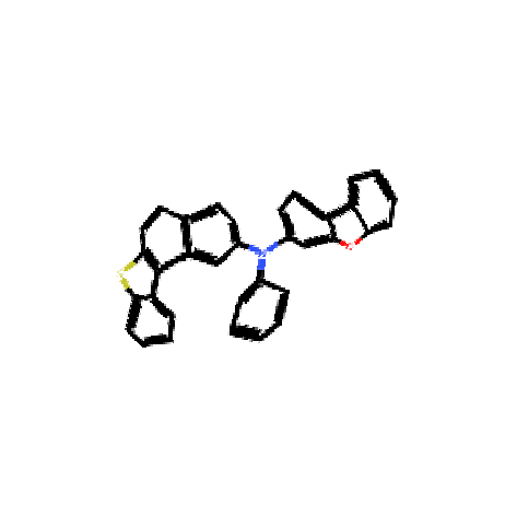 c1ccc(N(c2ccc3c(c2)oc2ccccc23)c2ccc3ccc4sc5ccccc5c4c3c2)cc1